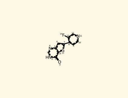 O=c1[nH]cnc2cc(-c3ccncc3F)sc12